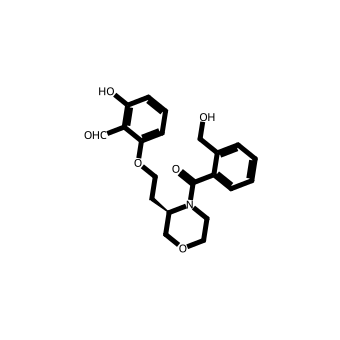 O=Cc1c(O)cccc1OCC[C@@H]1COCCN1C(=O)c1ccccc1CO